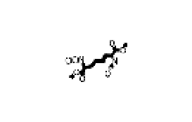 COC(=O)C(CCCCC(N=C=O)C(=O)OC)N=C=O